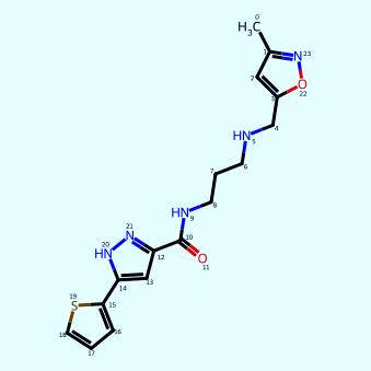 Cc1cc(CNCCCNC(=O)c2cc(-c3cccs3)[nH]n2)on1